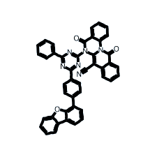 N#Cc1c2ccccc2c(=O)n2c3ccccc3c(=O)n(-c3nc(-c4ccccc4)nc(-c4ccc(-c5cccc6c5oc5ccccc56)cc4)n3)c12